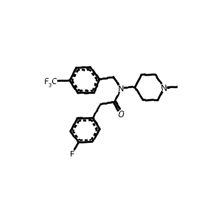 CN1CCC(N(Cc2ccc(C(F)(F)F)cc2)C(=O)Cc2ccc(F)cc2)CC1